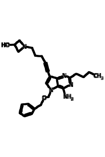 CCCCc1nc(N)c2c(n1)c(C#CCCCN1CC(O)C1)cn2COCc1ccccc1